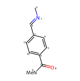 CN=Cc1ccc(C(=O)NC)cc1